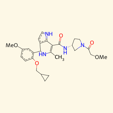 COCC(=O)N1CC[C@@H](NC(=O)C2=C(C)NC(c3cc(OC)ccc3OCC3CC3)c3cc[nH]c32)C1